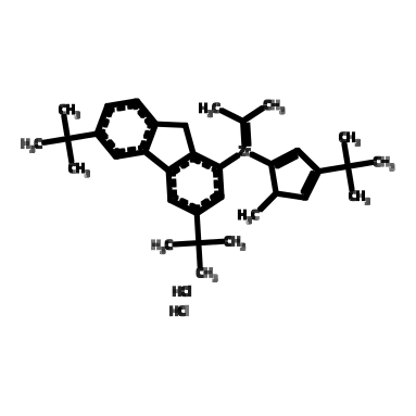 C[C](C)=[Zr]([C]1=CC(C(C)(C)C)=CC1C)[c]1cc(C(C)(C)C)cc2c1Cc1ccc(C(C)(C)C)cc1-2.Cl.Cl